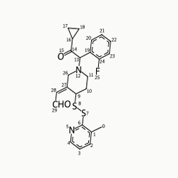 Cc1cccnc1SSC1CCN(C(C(=O)C2CC2)c2ccccc2F)C/C1=C/C=O